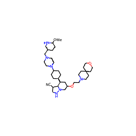 COC1CCC(CN2CCN(C3CCC(C4CC(OCCN5CCC6(CCOCC6)CC5)CN5NCC(C#N)C45)CC3)CC2)CN1